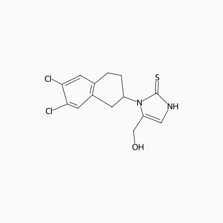 OCc1c[nH]c(=S)n1C1CCc2cc(Cl)c(Cl)cc2C1